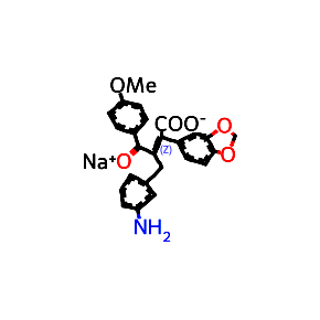 COc1ccc(C(=O)/C(Cc2cccc(N)c2)=C(\C(=O)[O-])c2ccc3c(c2)OCO3)cc1.[Na+]